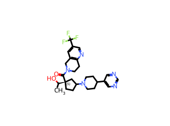 CC(O)[C@]1(C(=O)N2CCc3ncc(C(F)(F)F)cc3C2)CCC(N2CCC(c3cncnc3)CC2)C1